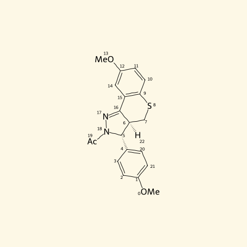 COc1ccc([C@H]2[C@@H]3CSc4ccc(OC)cc4C3=NN2C(C)=O)cc1